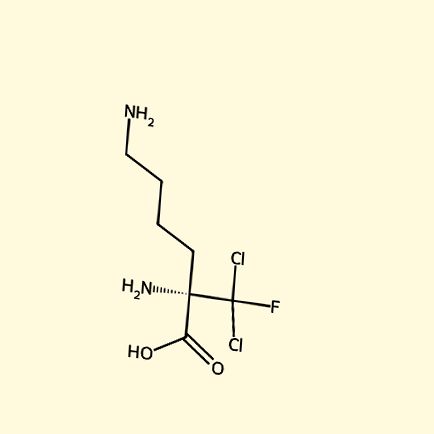 NCCCC[C@](N)(C(=O)O)C(F)(Cl)Cl